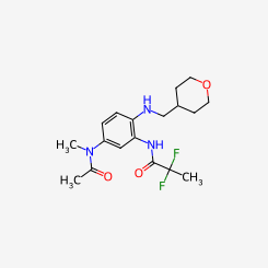 CC(=O)N(C)c1ccc(NCC2CCOCC2)c(NC(=O)C(C)(F)F)c1